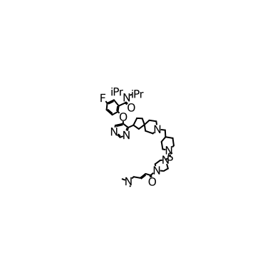 CC(C)N(C(=O)c1cc(F)ccc1Oc1cncnc1C1CCC2(CCN(CC3CCN(SN4CCN(C(=O)/C=C/CN(C)C)CC4)CC3)CC2)C1)C(C)C